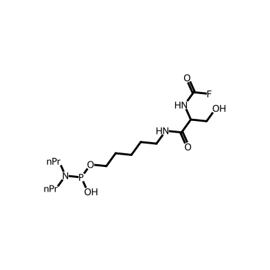 CCCN(CCC)P(O)OCCCCCNC(=O)C(CO)NC(=O)F